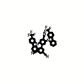 N#Cc1cc(C#N)cc(-c2cc(-n3c4ccccc4c4ccc(C(F)(F)F)cc43)c(C#N)cc2-n2c3ccccc3c3ccc(C(F)(F)F)cc32)c1